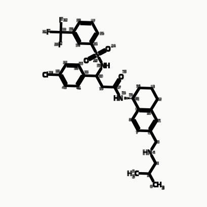 CC(C)CNCc1ccc2c(c1)CCC[C@H]2NC(=O)CC(NS(=O)(=O)c1cccc(C(F)(F)F)c1)c1ccc(Cl)cc1